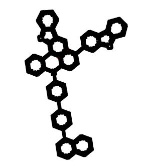 c1ccc(N(c2ccc(-c3ccc(-c4cccc5ccccc45)cc3)cc2)c2ccc(-c3ccc4c(c3)oc3ccccc34)cc2)c(-c2cccc3c2oc2ccccc23)c1